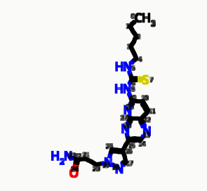 CCCCCNC(=S)Nc1ccc2ncc(-c3cnn(CCC(N)=O)c3)nc2n1